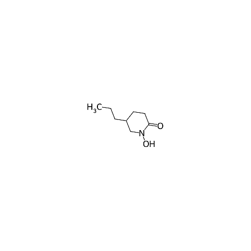 CCCC1CCC(=O)N(O)C1